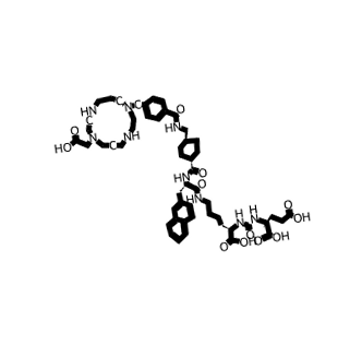 O=C(O)CC[C@H](NC(=O)N[C@@H](CCCCNC(=O)[C@H](Cc1ccc2ccccc2c1)NC(=O)[C@H]1CC[C@H](CNC(=O)c2ccc(CN3CCCNCCN(CC(=O)O)CCCNCC3)cc2)CC1)C(=O)O)C(=O)O